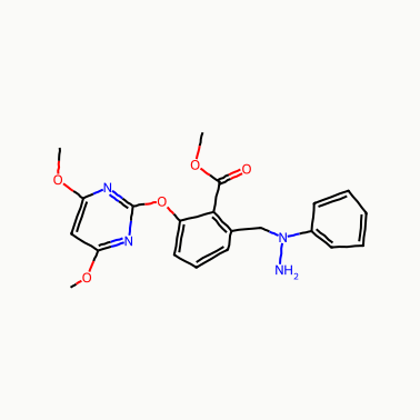 COC(=O)c1c(CN(N)c2ccccc2)cccc1Oc1nc(OC)cc(OC)n1